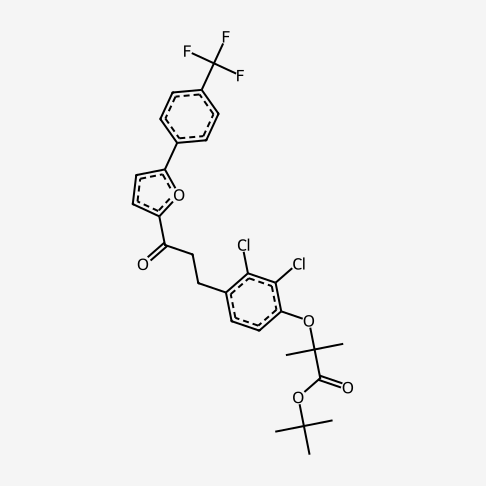 CC(C)(C)OC(=O)C(C)(C)Oc1ccc(CCC(=O)c2ccc(-c3ccc(C(F)(F)F)cc3)o2)c(Cl)c1Cl